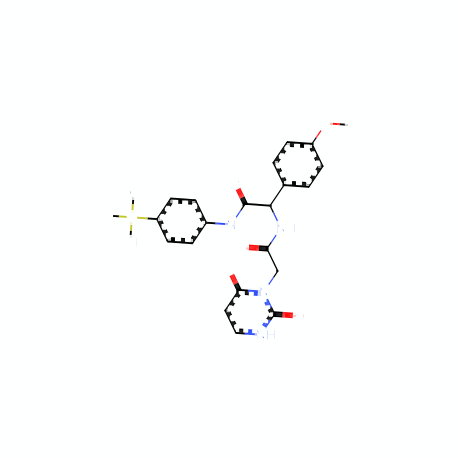 COc1ccc(C(NC(=O)Cn2c(=O)cc[nH]c2=O)C(=O)Nc2ccc(S(C)(C)C)cc2)cc1